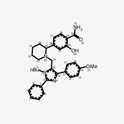 CCCCn1c(-c2ccccc2)nc(-c2ccc(OC)cc2)c1CN1CCCCC1c1ccc(C(N)=O)c(O)c1